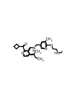 CC/C(C)=c1\ccnc(C(=O)C2CCC2)\c1=C\NCc1cnc(OCCNF)c(C)c1